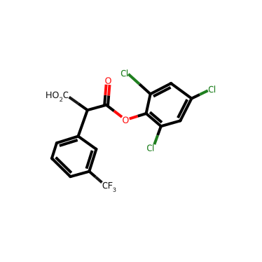 O=C(O)C(C(=O)Oc1c(Cl)cc(Cl)cc1Cl)c1cccc(C(F)(F)F)c1